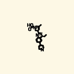 CCc1nc(C(CNC(=O)O)CC(C)C)nc2ccc(-c3ccncc3)cc12